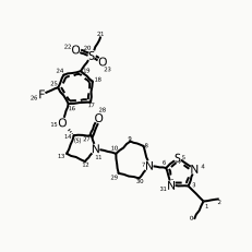 CC(C)c1nsc(N2CCC(N3CC[C@H](Oc4ccc(S(C)(=O)=O)cc4F)C3=O)CC2)n1